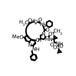 C=C[C@@H]1C[C@]1(NC(=O)[C@@H]1C[C@@H]2CN1C(=O)[C@H](C1CCCCC1)NC(=O)OCC(C)(C)CCCc1cc3c(cc(NCc4ccccc4)nc3cc1OC)O2)C(=O)NS(=O)(=O)C1CC1